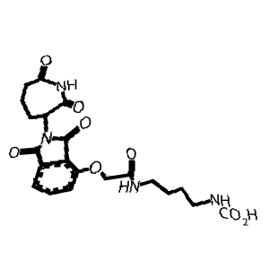 O=C(O)NCCCCNC(=O)COc1cccc2c1C(=O)N(C1CCCC(=O)NC1=O)C2=O